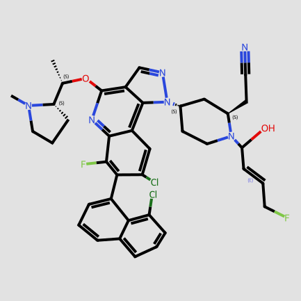 C[C@H](Oc1nc2c(F)c(-c3cccc4cccc(Cl)c34)c(Cl)cc2c2c1cnn2[C@H]1CCN(C(O)/C=C/CF)[C@H](CC#N)C1)[C@@H]1CCCN1C